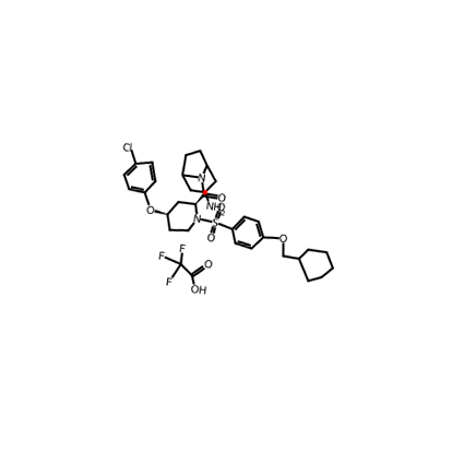 NC1CC2CCC(C1)N2C(=O)[C@@H]1C[C@H](Oc2ccc(Cl)cc2)CCN1S(=O)(=O)c1ccc(OCC2CCCCC2)cc1.O=C(O)C(F)(F)F